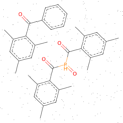 Cc1cc(C)c(C(=O)[PH](=O)C(=O)c2c(C)cc(C)cc2C)c(C)c1.Cc1cc(C)c(C(=O)c2ccccc2)c(C)c1